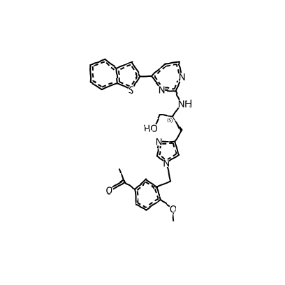 COc1ccc(C(C)=O)cc1Cn1cnc(C[C@@H](CO)Nc2nccc(-c3cc4ccccc4s3)n2)c1